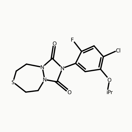 CC(C)Oc1cc(-n2c(=O)n3n(c2=O)CCSCC3)c(F)cc1Cl